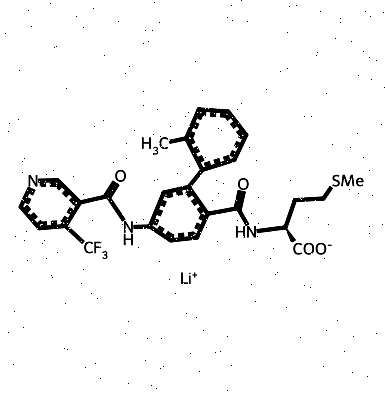 CSCC[C@H](NC(=O)c1ccc(NC(=O)c2cnccc2C(F)(F)F)cc1-c1ccccc1C)C(=O)[O-].[Li+]